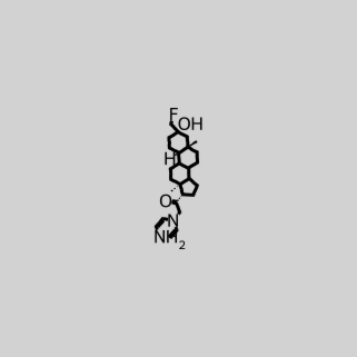 C=CN(/C=C\N)CC(=O)[C@H]1CCC2C3CC[C@@]4(C)C[C@@](O)(CF)CC[C@@H]4C3CC[C@@]21C